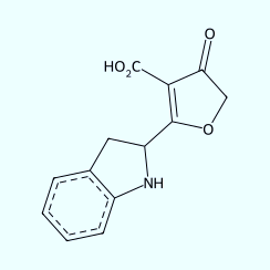 O=C(O)C1=C(C2Cc3ccccc3N2)OCC1=O